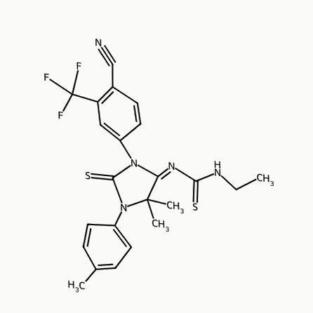 CCNC(=S)/N=C1/N(c2ccc(C#N)c(C(F)(F)F)c2)C(=S)N(c2ccc(C)cc2)C1(C)C